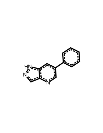 c1ccc(-c2cnc3cn[nH]c3c2)cc1